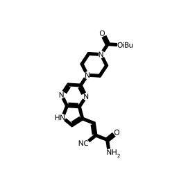 CC(C)COC(=O)N1CCN(c2cnc3[nH]cc(/C=C(\C#N)C(N)=O)c3n2)CC1